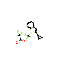 FC(F)(F)[s+]1c(C2CC2)cc2ccccc21.O=C([O-])C(F)(F)F